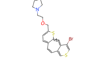 BrC1=CSC=C2C=CC3=CC=C(COCCN4CCCC4)SC34CC=CC4=C12